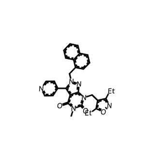 CCc1noc(CC)c1Cn1c(=O)n(C)c(=O)c2c(-c3ccncc3)n(Cc3cccc4ccccc34)nc21